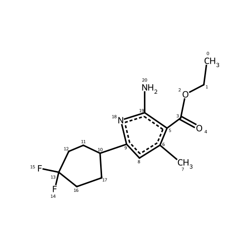 CCOC(=O)c1c(C)cc(C2CCC(F)(F)CC2)nc1N